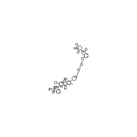 Cc1cc(Nc2ncc(Cl)c(Nc3ccccc3S(=O)(=O)C(C)C)n2)c(OC(C)C)cc1C1CCN(CCCOCCOCCOc2cccc3c2CN(C2CCC(=O)NC2=O)C3=O)CC1